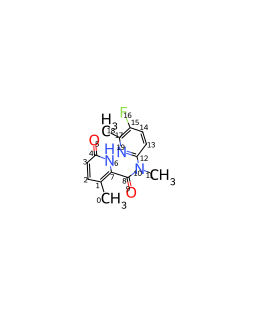 Cc1ccc(=O)[nH]c1C(=O)N(C)c1ccc(F)c(C)n1